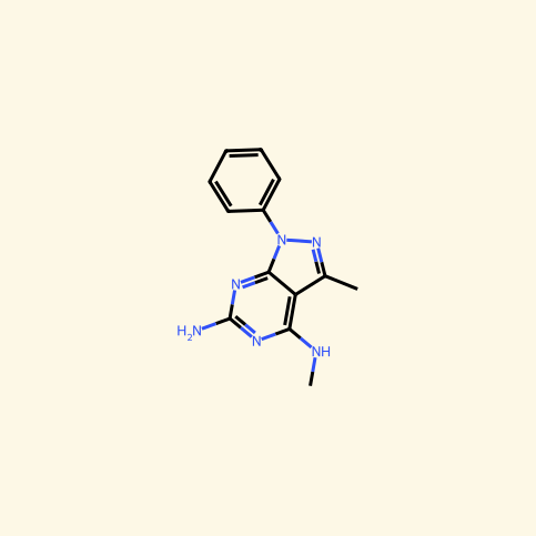 CNc1nc(N)nc2c1c(C)nn2-c1ccccc1